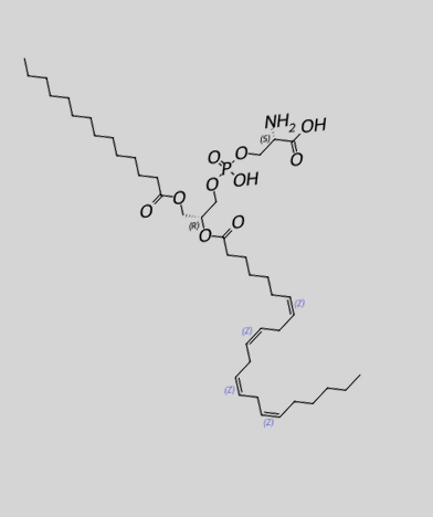 CCCCC/C=C\C/C=C\C/C=C\C/C=C\CCCCCC(=O)O[C@H](COC(=O)CCCCCCCCCCCCC)COP(=O)(O)OC[C@H](N)C(=O)O